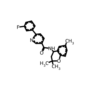 Cc1ccc2c(c1)C(NC(=O)c1ccc(-c3cccc(F)c3)nc1)CC(C)(C)O2